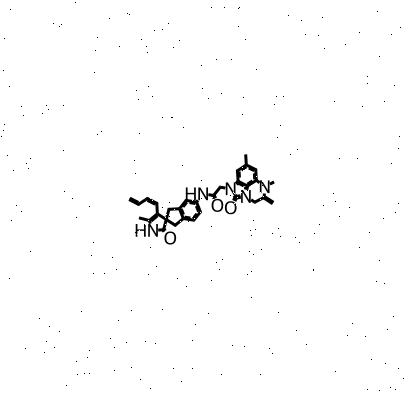 C=C/C=C\C1=C(C)NC(=O)C12Cc1ccc(NC(=O)Cn3c(=O)n4c5c(cc(C)cc53)N(C)C(=C)C4)cc1C2